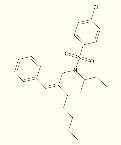 CCCCCC(=Cc1ccccc1)CN(C(C)CC)S(=O)(=O)c1ccc(Cl)cc1